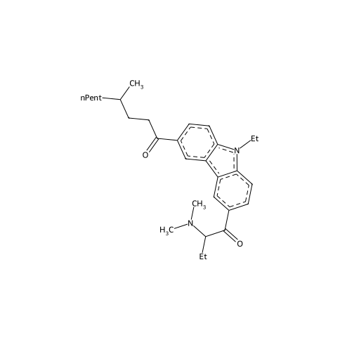 CCCCCC(C)CCC(=O)c1ccc2c(c1)c1cc(C(=O)C(CC)N(C)C)ccc1n2CC